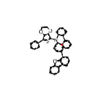 c1ccc(-c2ccccc2N(c2ccc(-c3cccc4c3oc3ccccc34)cc2)c2sc(-c3ccccc3)c3c2OCCO3)cc1